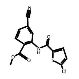 COC(=O)c1ccc(C#N)cc1NC(=O)c1ccc(Cl)s1